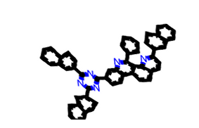 c1ccc(-c2nc3cc(-c4nc(-c5ccc6ccccc6c5)nc(-c5ccc6ccccc6c5)n4)ccc3c3ccc4ccc(-c5ccc6ccccc6c5)nc4c23)cc1